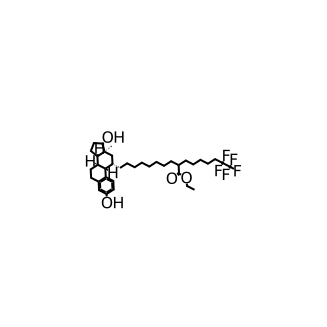 CCOC(=O)C(CCCCCCCC[C@H]1C[C@]2(C)[C@@H](O)CC[C@H]2[C@@H]2CCc3cc(O)ccc3[C@@H]12)CCCCCC(F)(F)C(F)(F)F